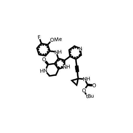 COc1c(F)cccc1Nc1c(-c2ccncc2C#CC2(NC(=O)OC(C)(C)C)CC2)[nH]c2c1C(=O)NCC2